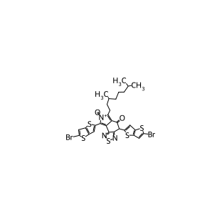 CC(C)CCCC(C)CCC1=C2C(=O)C(c3cc4sc(Br)cc4s3)c3nsnc3C2=C(c2cc3sc(Br)cc3s2)[N+]1=O